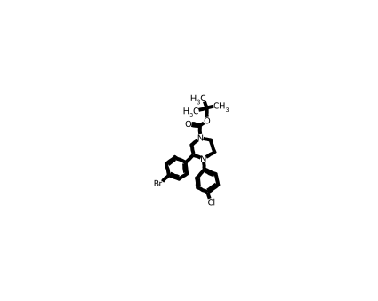 CC(C)(C)OC(=O)N1CCN(c2ccc(Cl)cc2)C(c2ccc(Br)cc2)C1